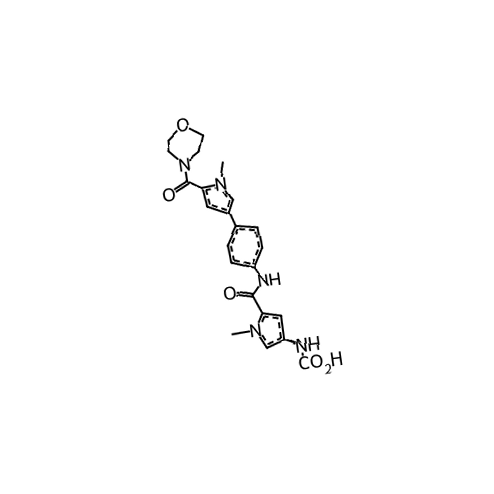 Cn1cc(NC(=O)O)cc1C(=O)Nc1ccc(-c2cc(C(=O)N3CCOCC3)n(C)c2)cc1